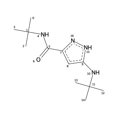 CC(C)(C)NC(=O)c1cc(NC(C)(C)C)[nH]n1